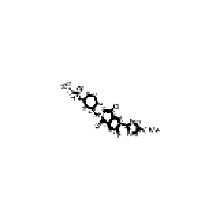 COc1cnc(-c2cc3c(Cl)cn(C[C@@H]4CCC[C@H](NC(=O)OC(C)(C)C)C4)c(=O)c3cc2F)nc1